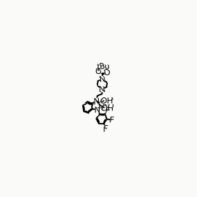 CC(C)(C)OC(=O)N1CCN(CCN2c3ccccc3N(c3ccc(F)c(F)c3F)S2(O)O)CC1